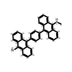 CBc1c2ccccc2c(-c2ccc(-c3c4ccccc4c(Br)c4ccccc34)cc2)c2ccccc12